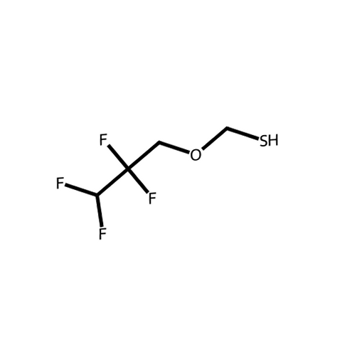 FC(F)C(F)(F)COCS